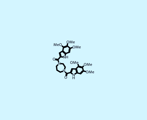 COc1cc2[nH]c(C(=O)N3CCCN(C(=O)c4cc5c(OC)c(OC)c(OC)cc5[nH]4)CC3)cc2c(OC)c1OC